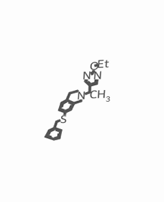 CCOc1ncc([C@@H](C)N2CCc3ccc(SCc4ccccc4)cc3C2)cn1